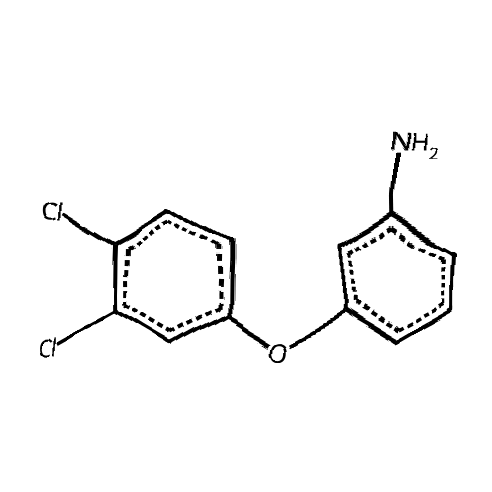 Nc1cccc(Oc2ccc(Cl)c(Cl)c2)c1